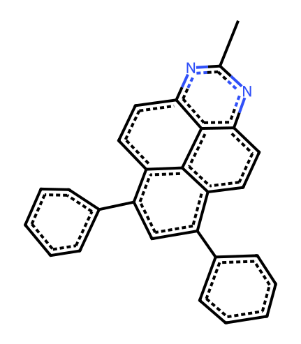 Cc1nc2ccc3c(-c4ccccc4)cc(-c4ccccc4)c4ccc(n1)c2c34